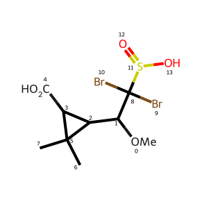 COC(C1C(C(=O)O)C1(C)C)C(Br)(Br)S(=O)O